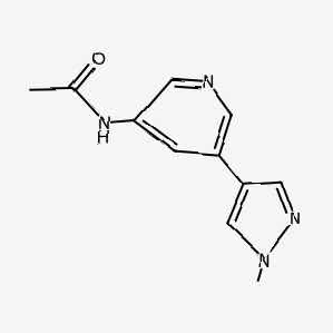 CC(=O)Nc1cncc(-c2cnn(C)c2)c1